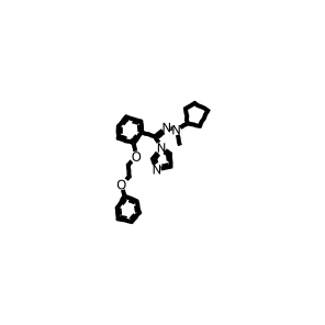 CN(N=C(c1ccccc1OCCOc1ccccc1)n1ccnc1)C1CCCC1